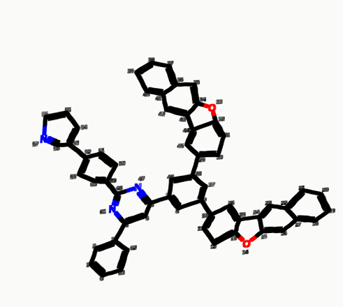 c1ccc(-c2cc(-c3cc(-c4ccc5oc6cc7ccccc7cc6c5c4)cc(-c4ccc5oc6cc7ccccc7cc6c5c4)c3)nc(-c3ccc(-c4cccnc4)cc3)n2)cc1